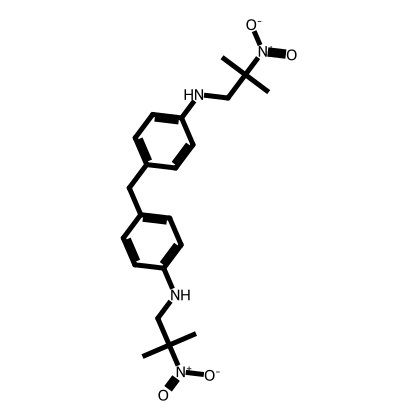 CC(C)(CNc1ccc(Cc2ccc(NCC(C)(C)[N+](=O)[O-])cc2)cc1)[N+](=O)[O-]